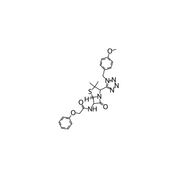 COc1ccc(Cn2nnnc2C2N3C(=O)C(NC(=O)COc4ccccc4)[C@H]3SC2(C)C)cc1